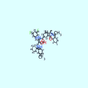 C[C@H](c1ccccc1)N(C)C(=O)c1cccc(C(=O)N[C@@H](Cc2cc(F)cc(F)c2)[C@H](O)CNC2(c3cccc(C(F)(F)F)c3)CCCCC2)c1